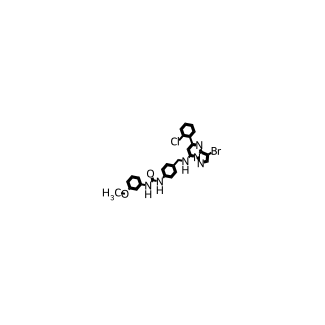 COc1cccc(NC(=O)Nc2ccc(CNc3cc(-c4ccccc4Cl)nc4c(Br)cnn34)cc2)c1